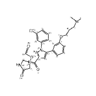 CN(C)CCCOc1cccc(-c2cc(C(=O)[N+]3(OC=O)CNC(=O)C3)nn2-c2cccc(Cl)c2)c1